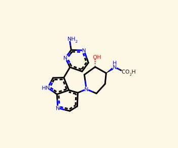 Nc1nccc(-c2c[nH]c3nccc(N4CC[C@H](NC(=O)O)[C@@H](O)C4)c23)n1